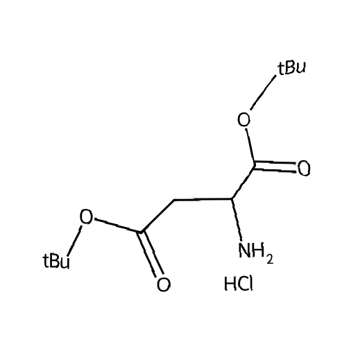 CC(C)(C)OC(=O)CC(N)C(=O)OC(C)(C)C.Cl